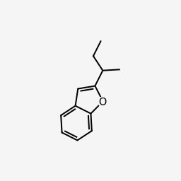 CCC(C)c1cc2ccccc2o1